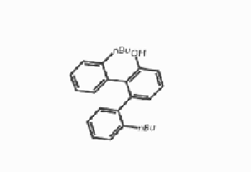 CCCCc1ccccc1-c1cccc(O)c1-c1ccccc1CCCC